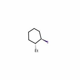 CC[C@@H]1CCCC[C@H]1I